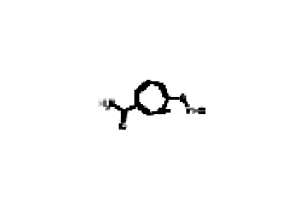 NC(=O)C1=CNC(OC=O)=CC=C1